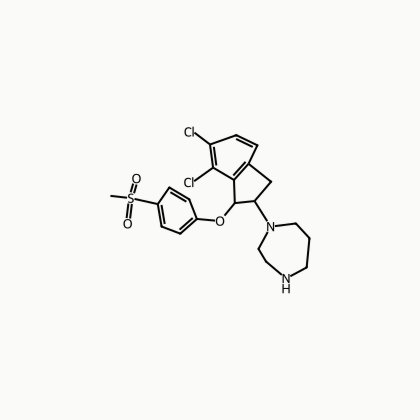 CS(=O)(=O)c1ccc(OC2c3c(ccc(Cl)c3Cl)CC2N2CCCNCC2)cc1